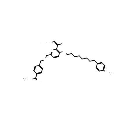 COC(=O)c1ccc(CSCc2ccc(OCCCCCCCCc3ccc(OC)cc3)c(/C(C)=C\C(=O)O)n2)cc1